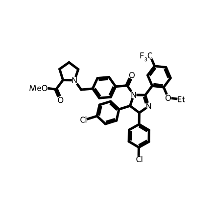 CCOc1ccc(C(F)(F)F)cc1C1=NC(c2ccc(Cl)cc2)C(c2ccc(Cl)cc2)N1C(=O)c1ccc(CN2CCCC2C(=O)OC)cc1